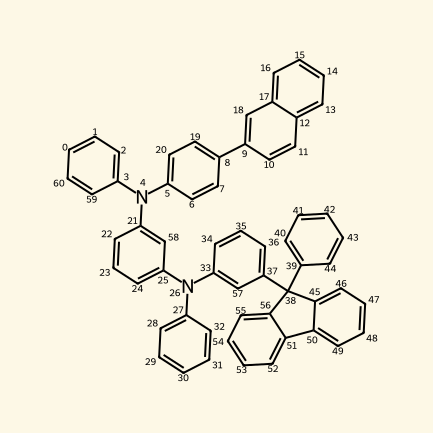 c1ccc(N(c2ccc(-c3ccc4ccccc4c3)cc2)c2cccc(N(c3ccccc3)c3cccc(C4(c5ccccc5)c5ccccc5-c5ccccc54)c3)c2)cc1